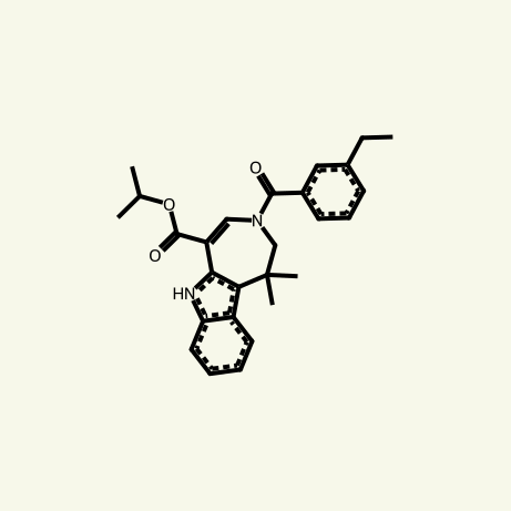 CCc1cccc(C(=O)N2C=C(C(=O)OC(C)C)c3[nH]c4ccccc4c3C(C)(C)C2)c1